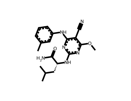 COc1nc(N[C@H](CC(C)C)C(N)=O)nc(Nc2cccc(C)c2)c1C#N